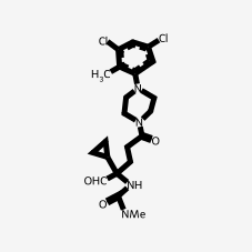 CNC(=O)NC(C=O)(CCC(=O)N1CCN(c2cc(Cl)cc(Cl)c2C)CC1)C1CC1